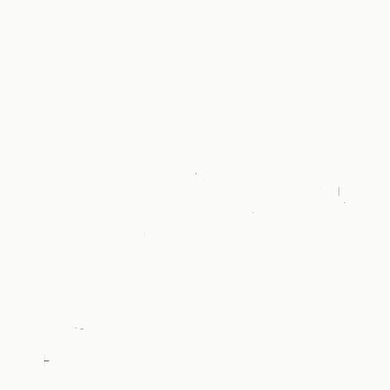 C=CCC(COc1ccc(F)cc1)OCc1ccccc1